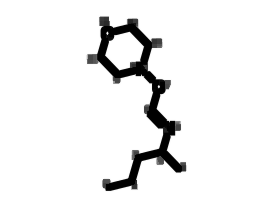 CCCC(C)/N=C/ON1CCOCC1